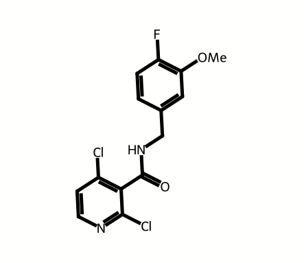 COc1cc(CNC(=O)c2c(Cl)ccnc2Cl)ccc1F